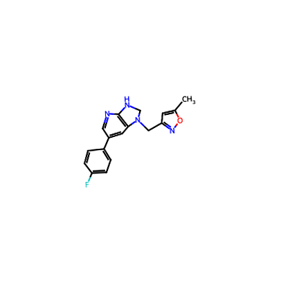 Cc1cc(CN2CNc3ncc(-c4ccc(F)cc4)cc32)no1